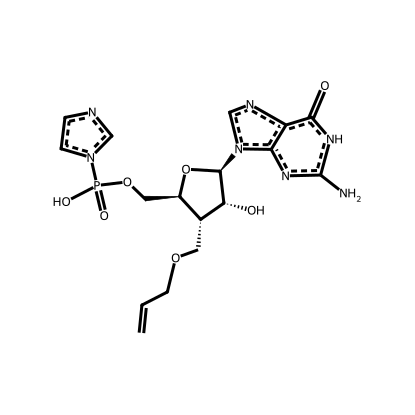 C=CCOC[C@H]1[C@@H](O)[C@H](n2cnc3c(=O)[nH]c(N)nc32)O[C@@H]1COP(=O)(O)n1ccnc1